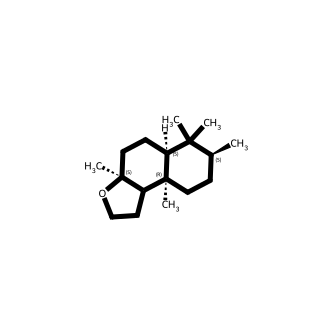 C[C@H]1CC[C@@]2(C)C3CCO[C@@]3(C)CC[C@H]2C1(C)C